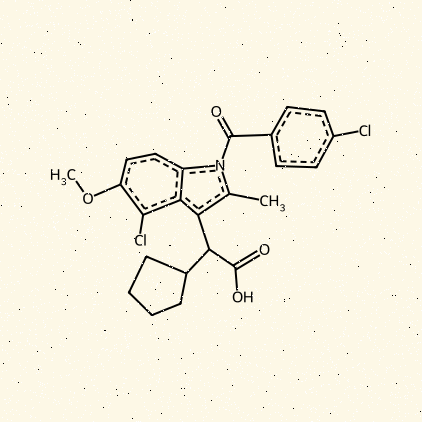 COc1ccc2c(c1Cl)c(C(C(=O)O)C1CCCC1)c(C)n2C(=O)c1ccc(Cl)cc1